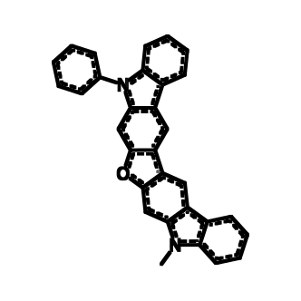 Cn1c2ccccc2c2cc3c(cc21)oc1cc2c(cc13)c1ccccc1n2-c1ccccc1